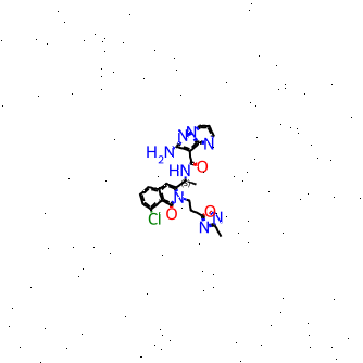 Cc1noc(CCn2c([C@H](C)NC(=O)c3c(N)nn4cccnc34)cc3cccc(Cl)c3c2=O)n1